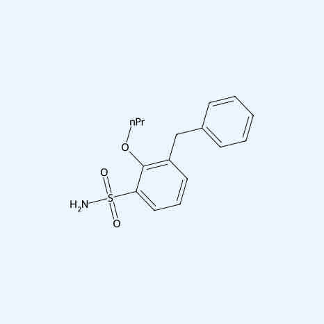 CCCOc1c(Cc2ccccc2)cccc1S(N)(=O)=O